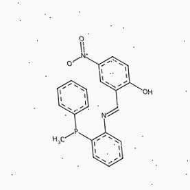 CP(c1ccccc1)c1ccccc1/N=C/c1cc([N+](=O)[O-])ccc1O